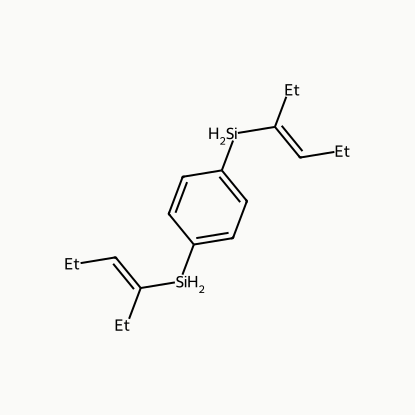 CCC=C(CC)[SiH2]c1ccc([SiH2]C(=CCC)CC)cc1